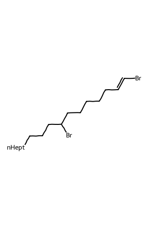 CCCCCCCCCCC(Br)CCCCCC=CBr